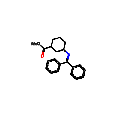 COC(=O)C1CCCC(N=C(c2ccccc2)c2ccccc2)C1